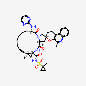 Cc1nc2ccccc2c2c1O[C@]1(CC2)C[C@H]2C(=O)N[C@]3(C(=O)NS(=O)(=O)C4(C)CC4)C[C@H]3/C=C\CCCCC[C@H](Nc3ncccn3)C(=O)N2C1